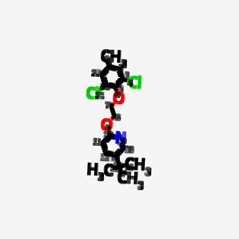 Cc1cc(Cl)c(OCCOc2ccc(C(C)(C)C)cn2)c(Cl)c1